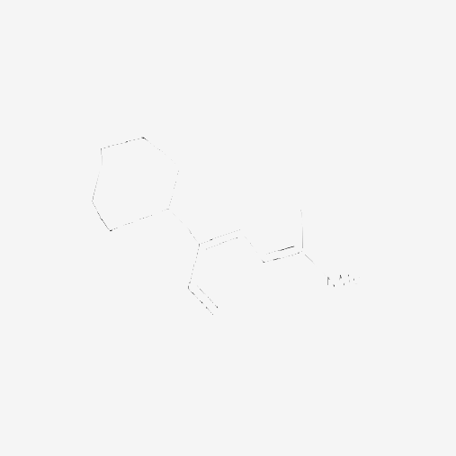 C=C/C(=C\C=C(/C)NC)C1CCCCC1